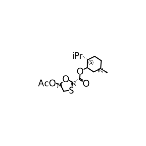 CC(=O)O[C@@H]1CS[C@@H](C(=O)OC2C[C@H](C)CC[C@H]2C(C)C)O1